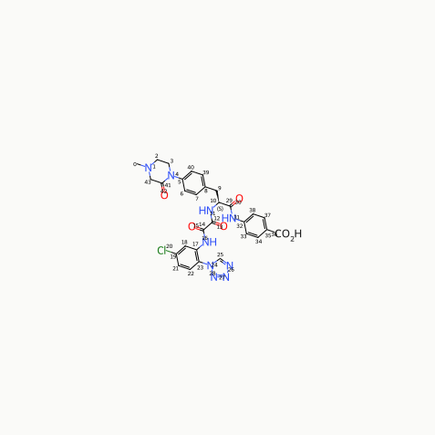 CN1CCN(c2ccc(C[C@H](NC(=O)C(=O)Nc3cc(Cl)ccc3-n3cnnn3)C(=O)Nc3ccc(C(=O)O)cc3)cc2)C(=O)C1